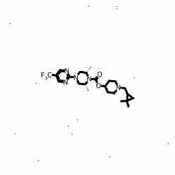 C[C@@H]1CN(c2ncc(C(F)(F)F)cn2)C[C@H](C)N1C(=O)OC1CCN(CC2CC2(C)C)CC1